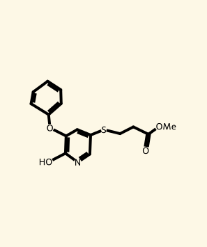 COC(=O)CCSc1cnc(O)c(Oc2ccccc2)c1